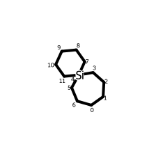 C1CCC[Si]2(CC1)CCCCC2